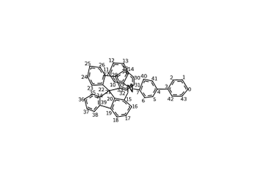 c1ccc(-c2ccc(N(c3ccccc3)c3cccc4c3C3(c5ccccc5-c5ccccc53)c3ccccc3-4)cc2)cc1